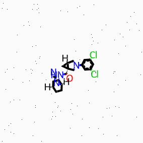 N#CN1[C@H]2CC[C@@H]1[C@@H](NC(=O)[C@]13C[C@H]1CN(c1cc(Cl)cc(Cl)c1)C3)C2